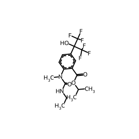 CCNC(=O)N(C)c1ccc(C(O)(C(F)(F)F)C(F)(F)F)cc1C(=O)OC(C)C